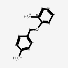 Cc1ccc(COc2ccccc2[SeH])cc1